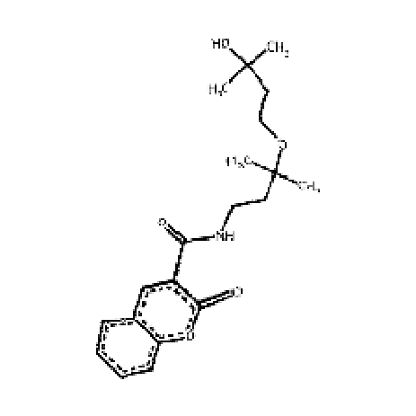 CC(C)(O)CCOC(C)(C)CCNC(=O)c1cc2ccccc2oc1=O